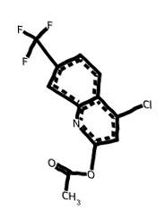 CC(=O)Oc1cc(Cl)c2ccc(C(F)(F)F)cc2n1